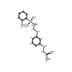 Cc1ccccc1S(=O)(=O)NCCc1cccc(OCC(=O)O)c1